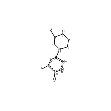 Cc1cc(N2CCNC(C)C2)nnc1Cl